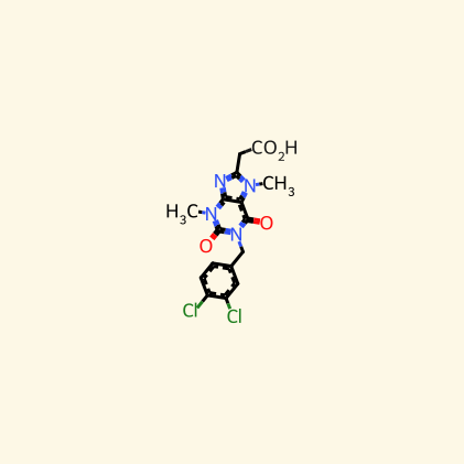 Cn1c(CC(=O)O)nc2c1c(=O)n(Cc1ccc(Cl)c(Cl)c1)c(=O)n2C